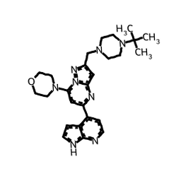 CC(C)(C)N1CCN(Cc2cc3nc(-c4ccnc5[nH]ccc45)cc(N4CCOCC4)n3n2)CC1